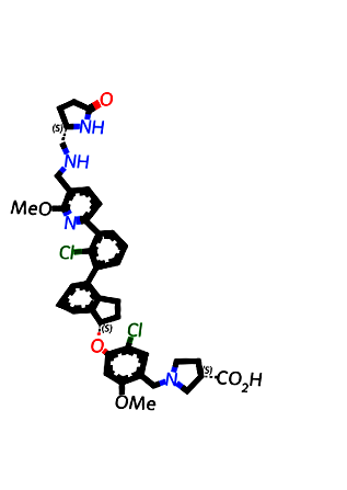 COc1cc(O[C@H]2CCc3c(-c4cccc(-c5ccc(CNC[C@@H]6CCC(=O)N6)c(OC)n5)c4Cl)cccc32)c(Cl)cc1CN1CC[C@H](C(=O)O)C1